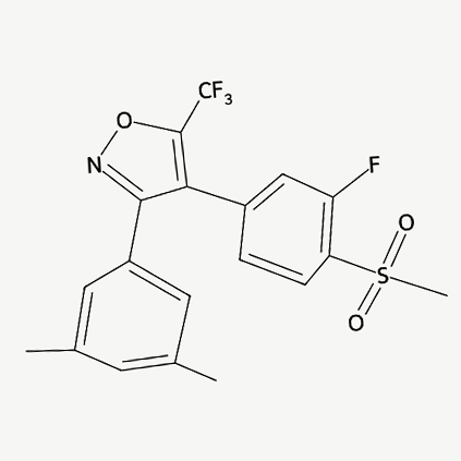 Cc1cc(C)cc(-c2noc(C(F)(F)F)c2-c2ccc(S(C)(=O)=O)c(F)c2)c1